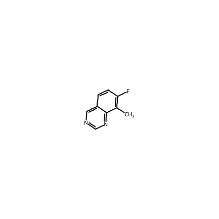 Cc1c(F)ccc2cncnc12